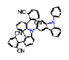 N#Cc1cccc(C#N)c1-c1cccc2c1c1cccc(-c3c(C#N)cccc3C#N)c1n2-c1ccc2c(c1)c1ccccc1n2-c1ccccc1